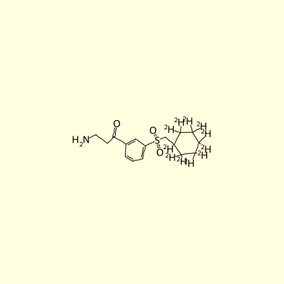 [2H]C1([2H])C([2H])([2H])C([2H])([2H])C([2H])(CS(=O)(=O)c2cccc(C(=O)CCN)c2)C([2H])([2H])C1([2H])[2H]